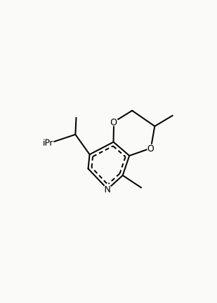 Cc1ncc(C(C)C(C)C)c2c1OC(C)CO2